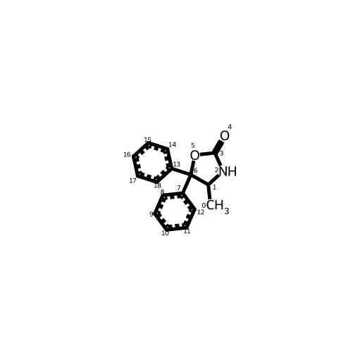 CC1NC(=O)OC1(c1ccccc1)c1ccccc1